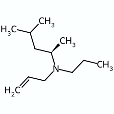 C=CCN(CCC)[C@H](C)CC(C)C